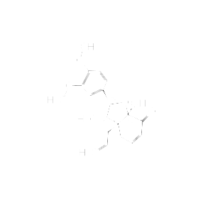 C=CC[C@]12CC=CC(=O)[C@@]1(O)O[C@H](c1ccc(OC)c(OC)c1)[C@H]2C